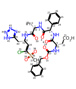 CC(C)[C@H](NC(=O)[C@@H](NC(=O)[C@H](CC(=O)O)NC(=O)OCc1ccccc1)c1ccccc1)C(=O)N[C@H](/C=C(\Cl)S(C)(=O)=O)Cc1nnn[nH]1